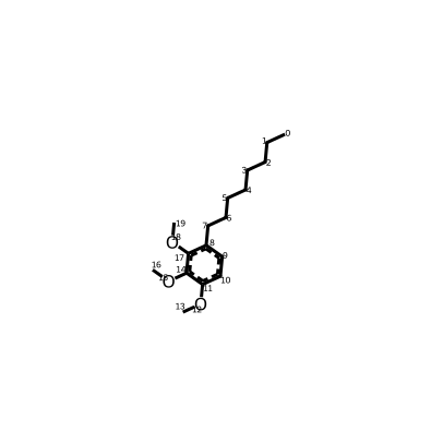 CCCCCCCCc1ccc(OC)c(OC)c1OC